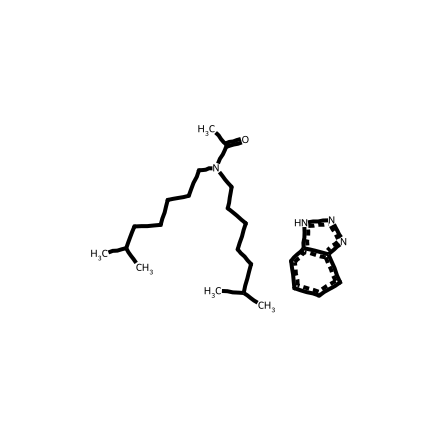 CC(=O)N(CCCCCC(C)C)CCCCCC(C)C.c1ccc2[nH]nnc2c1